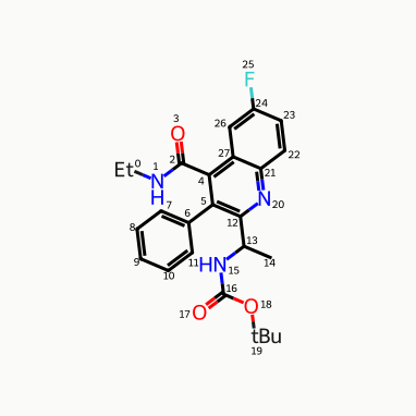 CCNC(=O)c1c(-c2ccccc2)c(C(C)NC(=O)OC(C)(C)C)nc2ccc(F)cc12